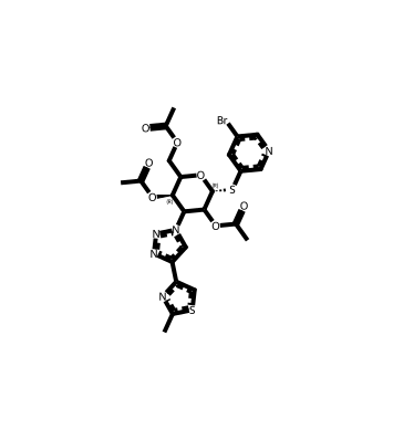 CC(=O)OCC1O[C@H](Sc2cncc(Br)c2)C(OC(C)=O)C(n2cc(-c3csc(C)n3)nn2)[C@H]1OC(C)=O